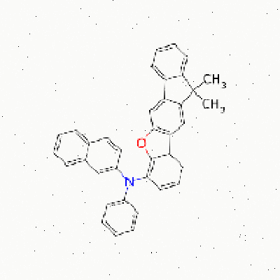 CC1(C)c2ccccc2-c2cc3c(cc21)C1CC=CC(N(c2ccccc2)c2ccc4ccccc4c2)=C1O3